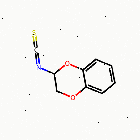 S=C=NC1COc2ccccc2O1